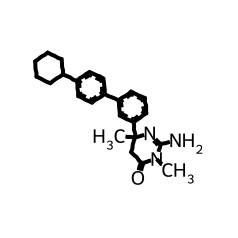 CN1C(=O)CC(C)(c2cccc(-c3ccc(C4CCCCC4)cc3)c2)N=C1N